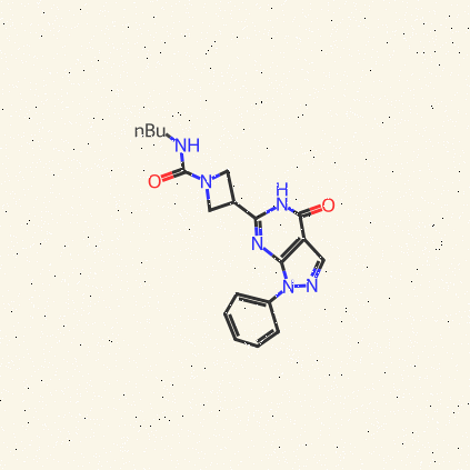 CCCCNC(=O)N1CC(c2nc3c(cnn3-c3ccccc3)c(=O)[nH]2)C1